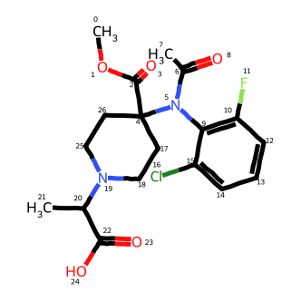 COC(=O)C1(N(C(C)=O)c2c(F)cccc2Cl)CCN(C(C)C(=O)O)CC1